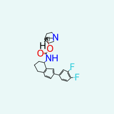 O=C(NC1CCCc2ccc(-c3ccc(F)c(F)c3)cc21)O[C@H]1CN2CCC1CC2